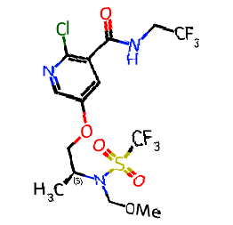 COCN([C@@H](C)COc1cnc(Cl)c(C(=O)NCC(F)(F)F)c1)S(=O)(=O)C(F)(F)F